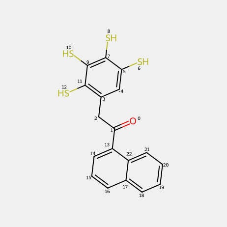 O=C(Cc1[c]c(S)c(S)c(S)c1S)c1cccc2ccccc12